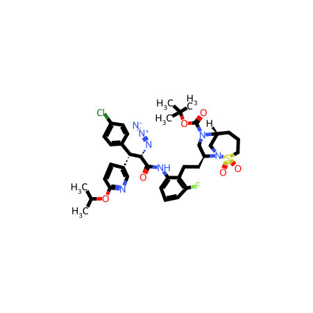 CC(C)Oc1ccc([C@H](c2ccc(Cl)cc2)[C@H](N=[N+]=[N-])C(=O)Nc2cccc(F)c2CC[C@H]2CN(C(=O)OC(C)(C)C)[C@@H]3CCCS(=O)(=O)N2C3)cn1